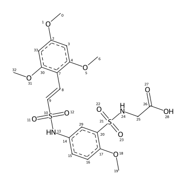 COc1cc(OC)c(/C=C/S(=O)(=O)Nc2ccc(OC)c(S(=O)(=O)NCC(=O)O)c2)c(OC)c1